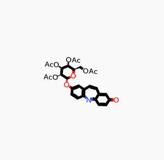 CC(=O)OC[C@H]1O[C@@H](Oc2ccc3nc4ccc(=O)cc-4ccc3c2)[C@H](OC(C)=O)[C@@H](OC(C)=O)[C@H]1OC(C)=O